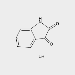 O=C1Nc2ccccc2C1=O.[LiH]